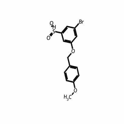 COc1ccc(COc2cc(Br)cc([SH](=O)=O)c2)cc1